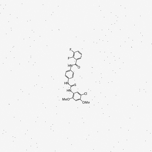 COc1cc(OC)c(NC(=S)Nc2ccc(NC(=O)c3cccc(F)c3F)cc2)cc1Cl